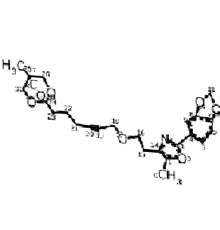 Cc1oc(-c2ccc3c(c2)OCO3)nc1CCOCC#CCCCC12OCC(C)(CO1)CO2